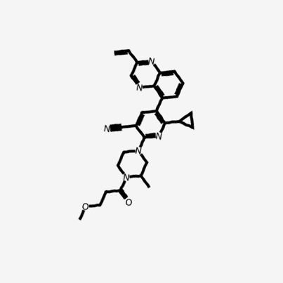 C=Cc1cnc2c(-c3cc(C#N)c(N4CCN(C(=O)CCOC)C(C)C4)nc3C3CC3)cccc2n1